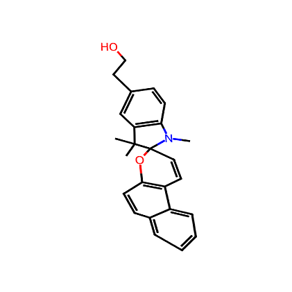 CN1c2ccc(CCO)cc2C(C)(C)C12C=Cc1c(ccc3ccccc13)O2